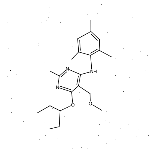 CCC(CC)Oc1nc(C)nc(Nc2c(C)cc(C)cc2C)c1COC